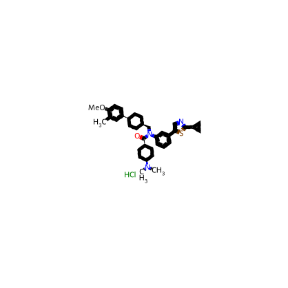 COc1ccc([C@H]2CC[C@H](CN(c3cccc(-c4cnc(C5CC5)s4)c3)C(=O)[C@H]3CC[C@H](N(C)C)CC3)CC2)cc1C.Cl